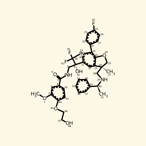 COc1cc(C(=O)NC[C@](O)(c2cc3c(c(-c4ccc(F)cc4)n2)OC[C@@]3(C)CN[C@@H](C)c2ccccc2)C(F)(F)F)ccc1OCCO